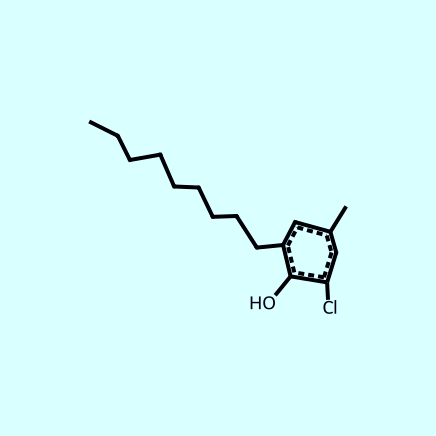 CCCCCCCCCc1cc(C)cc(Cl)c1O